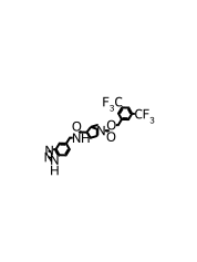 O=C(NCc1ccc2[nH]nnc2c1)C1CC2CC1CN2C(=O)OCc1cc(C(F)(F)F)cc(C(F)(F)F)c1